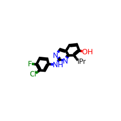 CC(C)c1c(O)ccc2cnc(Nc3ccc(F)c(Cl)c3)nc12